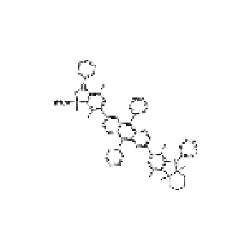 CCCCCCC1(C)CN(c2ccccc2)c2c(C)cc(-c3ccc4c(-c5ccccc5)c5cc(-c6cc(C)c7c(c6C)N(c6ccccc6)C6(C)CCCCC76C)ccc5c(-c5ccccc5)c4c3)c(C)c21